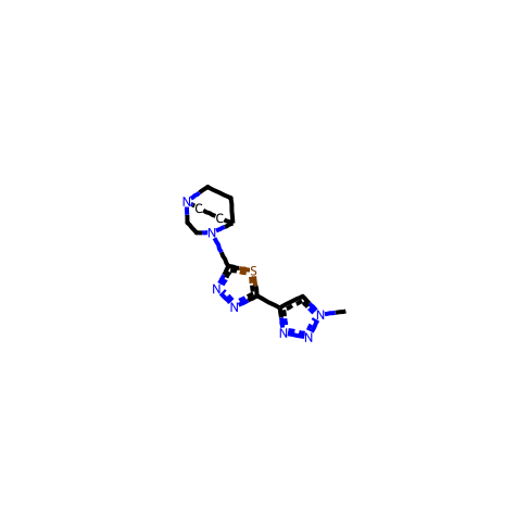 Cn1cc(-c2nnc(N3CCN4CCC3CC4)s2)nn1